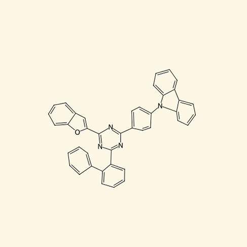 c1ccc(-c2ccccc2-c2nc(-c3ccc(-n4c5ccccc5c5ccccc54)cc3)nc(-c3cc4ccccc4o3)n2)cc1